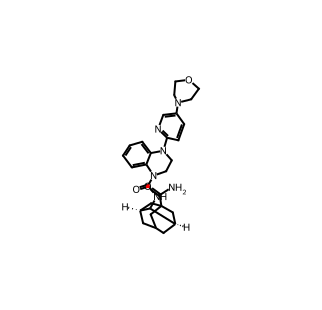 NC(=O)C12CC3C[C@H](C1)C(NC(=O)N1CCN(c4ccc(N5CCOCC5)cn4)c4ccccc41)[C@@H](C3)C2